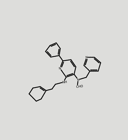 O=CN(Cc1cccnc1)c1ccc(-c2ccccc2)nc1NCCC1=CCCCC1